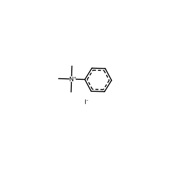 C[N+](C)(C)c1ccccc1.[I-]